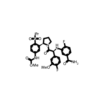 COC(=O)Nc1ccc(S(=O)(=O)C(C)C)c([C@H]2CCCN2C(=O)[C@@H](Nc2cc(C(N)=O)ccc2F)c2ccc(F)c(OC)c2)c1